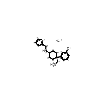 Cl.NC[C@]1(c2cccc(Cl)c2)CC[C@H](NCc2cccs2)CC1